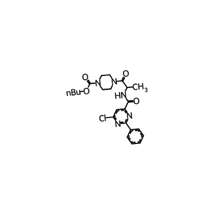 CCCCOC(=O)N1CCN(C(=O)C(C)NC(=O)c2cc(Cl)nc(-c3ccccc3)n2)CC1